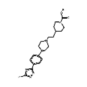 CC(C)c1noc(-c2ccc(N3CCN(CCC4CCN(C(=O)OC(C)(C)C)CC4)CC3)cc2)n1